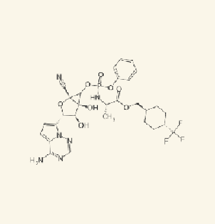 C[C@H](NP(=O)(Oc1ccccc1)OC1[C@@]2(C#N)O[C@@H](c3ccc4c(N)ncnn34)[C@H](O)[C@@]12O)C(=O)OC[C@H]1CC[C@H](C(F)(F)F)CC1